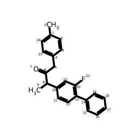 Cc1ccc(CC(=O)C(C)c2ccc(-c3ccccc3)c(F)c2)cc1